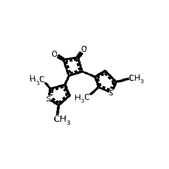 Cc1cc(-c2c(-c3cc(C)sc3C)c(=O)c2=O)c(C)s1